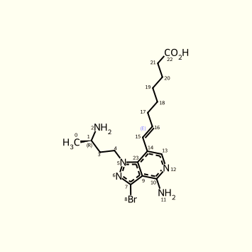 C[C@@H](N)CCn1nc(Br)c2c(N)ncc(/C=C/CCCCCC(=O)O)c21